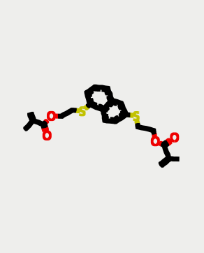 C=C(C)C(=O)OCCSc1ccc2c(SCCOC(=O)C(=C)C)cccc2c1